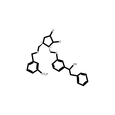 O=C(O)c1cccc(COC[C@H]2CC(Cl)C(Cl)[C@@H]2COc2cccc(C(O)Cc3ccccc3)c2)c1